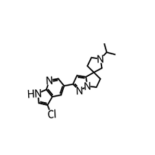 CC(C)N1CCC2(CCn3nc(-c4cnc5[nH]cc(Cl)c5c4)cc32)C1